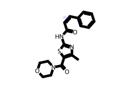 Cc1nc(NC(=O)/C=C\c2ccccc2)sc1C(=O)N1CCOCC1